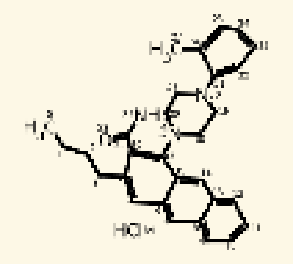 CCCCc1cc2cc3ccccc3cc2c(N2CCN(c3ccccc3C)CC2)c1C(N)=O.Cl